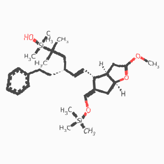 COC1C[C@H]2[C@H](CC(=CO[Si](C)(C)C)[C@@H]2/C=C/[C@H](CCc2ccccc2)CC(C)(C)[Si](C)(C)O)O1